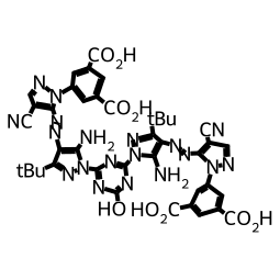 CC(C)(C)c1nn(-c2nc(O)nc(-n3nc(C(C)(C)C)c(N=Nc4c(C#N)cnn4-c4cc(C(=O)O)cc(C(=O)O)c4)c3N)n2)c(N)c1N=Nc1c(C#N)cnn1-c1cc(C(=O)O)cc(C(=O)O)c1